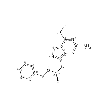 CSc1nc(N)nn2c(C[C@@H](C)OCc3ccccc3)ncc12